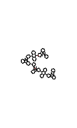 c1ccc(-n2c3ccccc3c3cc(-c4c5ccccc5c(-c5cccc(-n6c7ccccc7c7ccc(-c8cccc(-n9c%10ccccc%10c%10cc(-c%11c%12ccccc%12c(-c%12ccc%13c%14ccccc%14n(-c%14ccccc%14)c%13c%12)c%12ccccc%11%12)ccc%109)c8)cc76)c5)c5ccccc45)ccc32)cc1